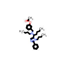 CCCCC(c1cnc(-c2ccccc2)n1CCCC)N(CCCC)Cc1cccc(OC(C)=O)c1